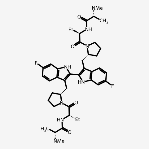 CC[C@H](NC(=O)[C@@H](C)NC)C(=O)N1CCC[C@@H]1Cc1c(-c2[nH]c3cc(F)ccc3c2C[C@H]2CCCN2C(=O)[C@@H](CC)NC(=O)[C@@H](C)NC)[nH]c2cc(F)ccc12